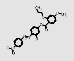 CCCOc1cc(OC)ccc1C(=O)Oc1ccc(/N=N/c2ccc([N+](=O)[O-])cc2)c(F)c1